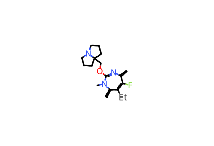 C=C1N=C(OCC23CCCN2CCC3)N(C)C(=C)C(CC)=C1F